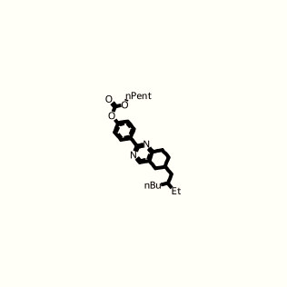 CCCCCOC(=O)Oc1ccc(-c2ncc3c(n2)CCC(CC(CC)CCCC)C3)cc1